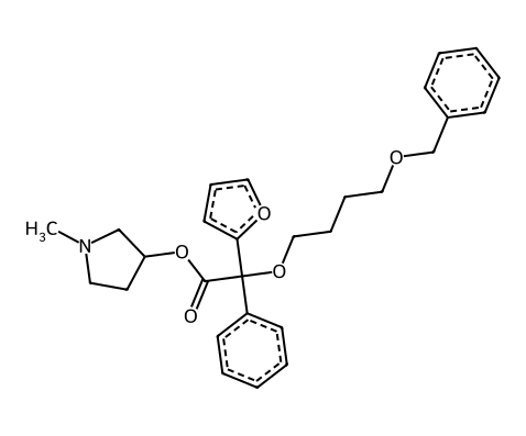 CN1CCC(OC(=O)C(OCCCCOCc2ccccc2)(c2ccccc2)c2ccco2)C1